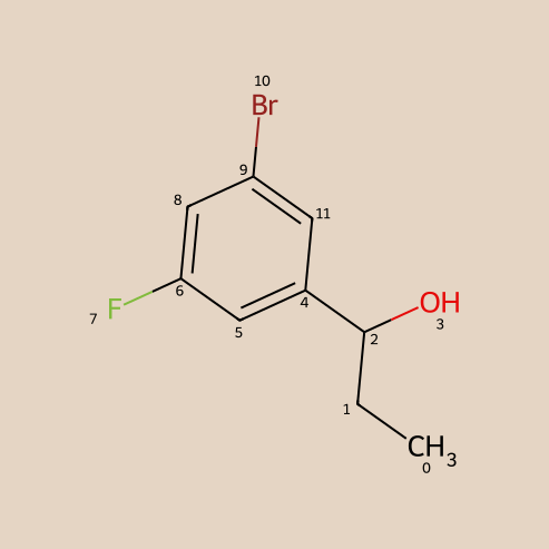 CCC(O)c1cc(F)cc(Br)c1